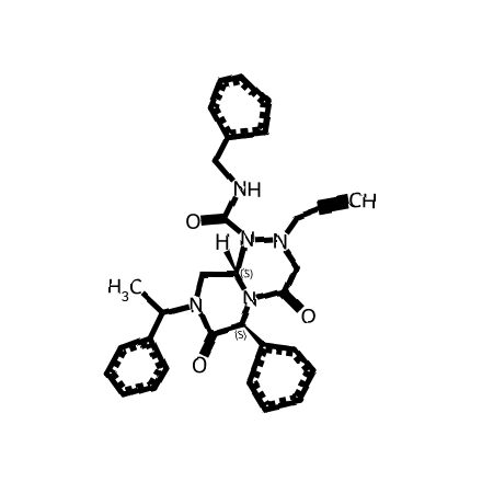 C#CCN1CC(=O)N2[C@@H](c3ccccc3)C(=O)N(C(C)c3ccccc3)C[C@@H]2N1C(=O)NCc1ccccc1